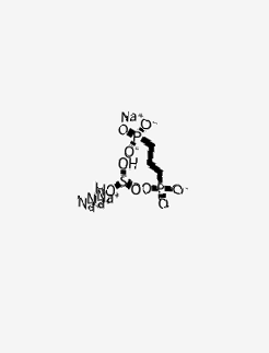 O=P([O-])([O-])CCCP(=O)([O-])[O-].O=S(O)O.[Na+].[Na+].[Na+].[Na+]